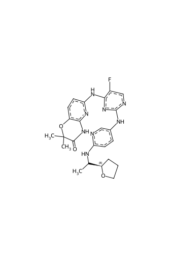 CC(Nc1ccc(Nc2ncc(F)c(Nc3ccc4c(n3)NC(=O)C(C)(C)O4)n2)cn1)[C@H]1CCCO1